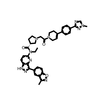 CCN(C(=O)[C@@H]1CCN(CC(=O)N2CC=C(c3ccc(-c4ncn(C)n4)cc3)CC2)C1)c1ccc2[nH]nc(-c3ccc4onc(C)c4c3)c2n1